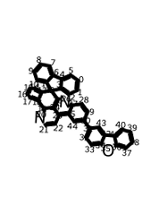 c1ccc2c(c1)-c1ccccc1C21c2ccccc2-c2nccc3c2c1nc1ccc(-c2ccc4oc5ccccc5c4c2)cc13